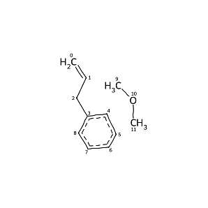 C=CCc1ccccc1.COC